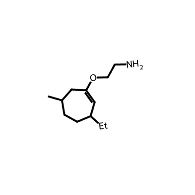 CCC1C=C(OCCN)CC(C)CC1